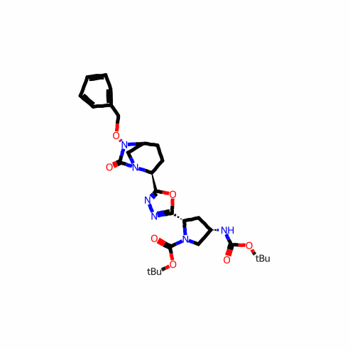 CC(C)(C)OC(=O)N[C@H]1C[C@@H](c2nnc([C@@H]3CCC4CN3C(=O)N4OCc3ccccc3)o2)N(C(=O)OC(C)(C)C)C1